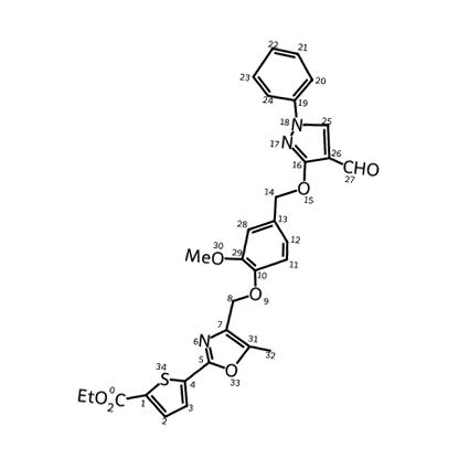 CCOC(=O)c1ccc(-c2nc(COc3ccc(COc4nn(-c5ccccc5)cc4C=O)cc3OC)c(C)o2)s1